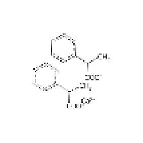 CC(C(=O)[O-])c1ccccc1.CC(C(=O)[O-])c1ccccc1.[Ca+2]